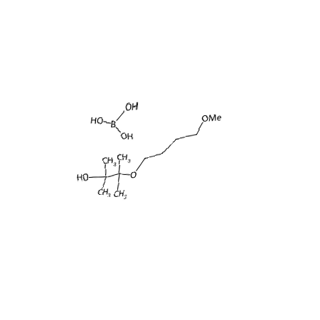 COCCCCOC(C)(C)C(C)(C)O.OB(O)O